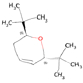 CC(C)(C)[C@@H]1C=CC[C@@H](C(C)(C)C)O1